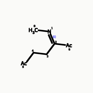 C/N=C(\CCC(C)=O)C(C)=O